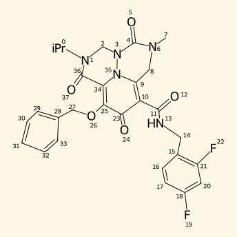 CC(C)N1CN2C(=O)N(C)Cc3c(C(=O)NCc4ccc(F)cc4F)c(=O)c(OCc4ccccc4)c(n32)C1=O